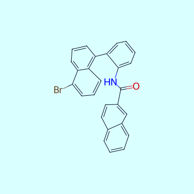 O=C(Nc1ccccc1-c1cccc2c(Br)cccc12)c1ccc2ccccc2c1